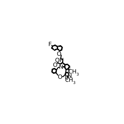 Cc1nn(C)c2c1-c1c(F)ccc3c(CCCOc4cccc5cc(F)ccc45)c(C(=O)O)n(c13)Cc1ccccc1COC2